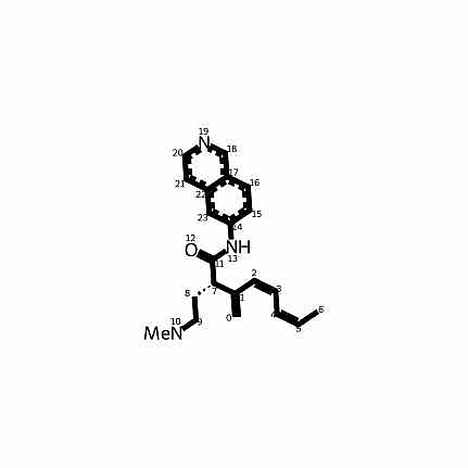 C=C(/C=C\C=C/C)[C@H](CCNC)C(=O)Nc1ccc2cnccc2c1